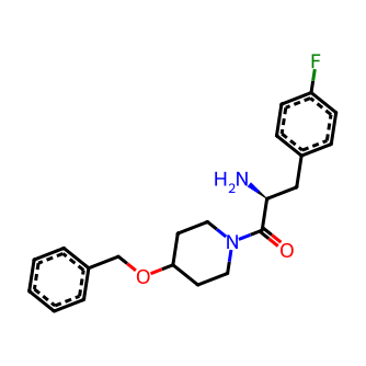 N[C@@H](Cc1ccc(F)cc1)C(=O)N1CCC(OCc2ccccc2)CC1